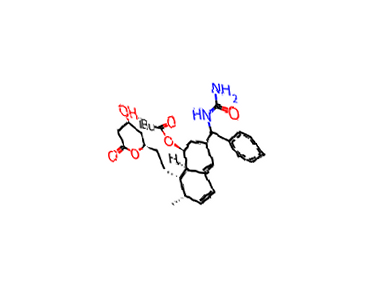 CCC(C)C(=O)O[C@H]1C[C@@H](C(NC(N)=O)c2ccccc2)C=C2C=C[C@H](C)[C@H](CC[C@@H]3C[C@@H](O)CC(=O)O3)[C@H]21